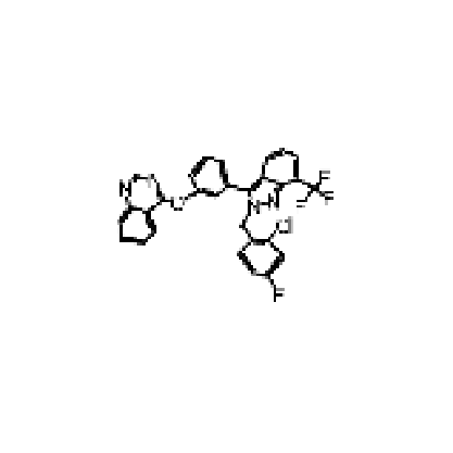 Fc1ccc(Cn2nc3c(C(F)(F)F)cccc3c2-c2cccc(Oc3ncnc4ccccc34)c2)c(Cl)c1